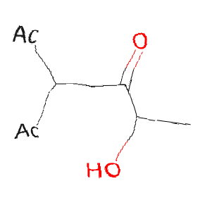 CC(=O)C(C(C)=O)C(=O)C(C)O